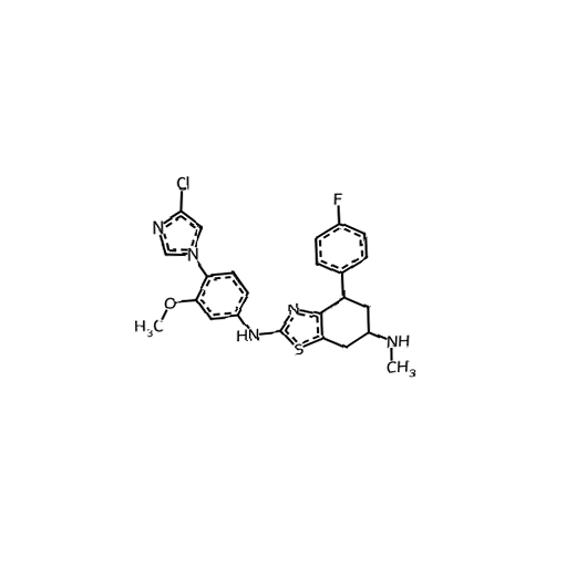 CNC1Cc2sc(Nc3ccc(-n4cnc(Cl)c4)c(OC)c3)nc2C(c2ccc(F)cc2)C1